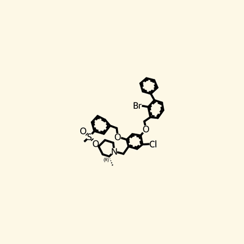 C[C@@H]1CCCCN1Cc1cc(Cl)c(OCc2cccc(-c3ccccc3)c2Br)cc1OCc1cccc(S(C)(=O)=O)c1